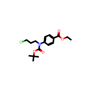 CCOC(=O)c1ccc(N(CCCCl)C(=O)OC(C)(C)C)cc1